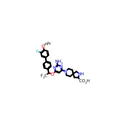 CCCOc1ccc(-c2ccc(C(Oc3cc(N4CCC5(CC4)CNC(C(=O)O)C5)nc(N)n3)C(F)(F)F)cc2)cc1F